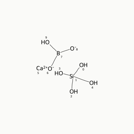 O[Si](O)(O)O.[Ca+2].[O-]B([O-])O